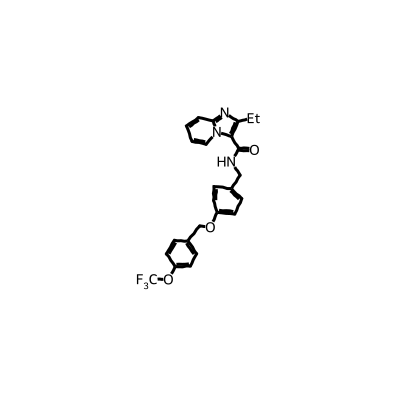 CCc1nc2ccccn2c1C(=O)NCc1ccc(OCc2ccc(OC(F)(F)F)cc2)cc1